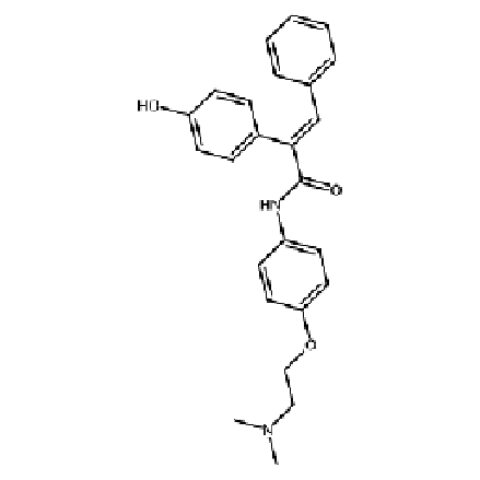 CN(C)CCOc1ccc(NC(=O)C(=Cc2ccccc2)c2ccc(O)cc2)cc1